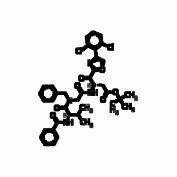 CC(C)[C@H](NC(=O)c1ccccc1)C(=O)N(CC(=O)N[C@@H](CC(=O)OC(C)(C)C)C(=O)c1nc(-c2c(Cl)cccc2Cl)co1)Cc1ccccc1